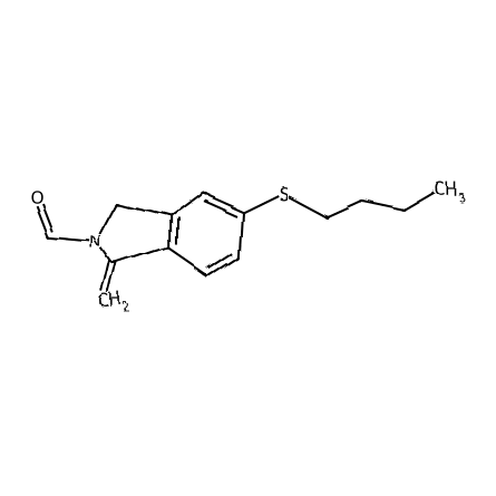 C=C1c2ccc(SCCCC)cc2CN1C=O